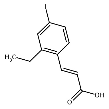 CCc1cc(I)ccc1/C=C/C(=O)O